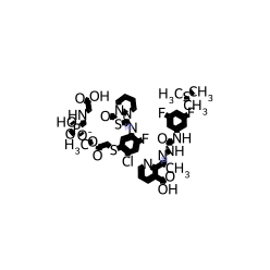 C/C(=N\NC(=O)Nc1cc(F)cc(F)c1)c1ncccc1C(=O)O.COC(=O)CSc1cc(/N=c2\sc(=O)n3n2CCCC3)c(F)cc1Cl.C[S+](C)C.O=C(O)CNCP(=O)([O-])O